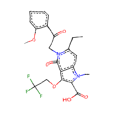 CCc1cc2c(c(OCC(F)(F)F)c(C(=O)O)n2C)c(=O)n1CC(=O)c1ccccc1OC